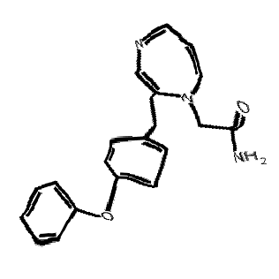 NC(=O)CN1C=CC=NC=C1c1ccc(Oc2ccccc2)cc1